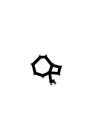 NC12CCCCCC1CC2